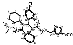 C[S+]([O-])N[C@@H]1CCCCC1N1C(=O)c2ccccc2[C@H](C(=O)NOCc2cc(C(=O)O)cs2)C1c1ccc(Cl)cc1Cl